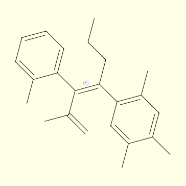 C=C(C)/C(=C(/CCC)c1cc(C)c(C)cc1C)c1ccccc1C